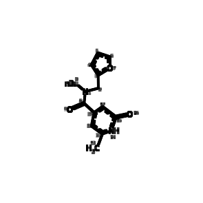 CCCCN(Cc1ccco1)C(=O)c1cc(C)[nH]c(=O)c1